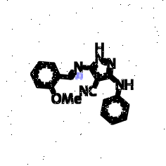 COc1ccccc1/C=N/c1[nH]nc(Nc2ccccc2)c1C#N